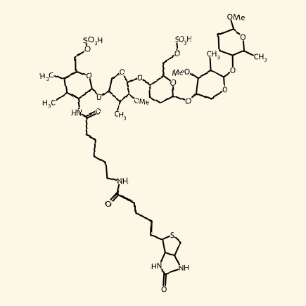 COC1CCC(OC2OCC(OC3CCC(OC4OCC(OC5OC(COS(=O)(=O)O)C(C)C(C)C5NC(=O)CCCCCNC(=O)CCCCC5SCC6NC(=O)NC65)C(C)C4OC)C(COS(=O)(=O)O)O3)C(OC)C2C)C(C)O1